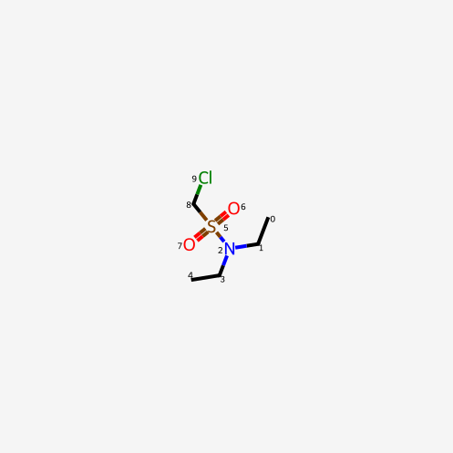 CCN(CC)S(=O)(=O)CCl